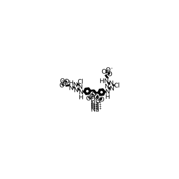 O=S(=O)([O-])CCNc1nc(Cl)nc(Nc2ccc(C=Cc3ccc(Nc4nc(Cl)nc(NCCS(=O)(=O)[O-])n4)cc3S(=O)(=O)[O-])c(S(=O)(=O)[O-])c2)n1.[Na+].[Na+].[Na+].[Na+]